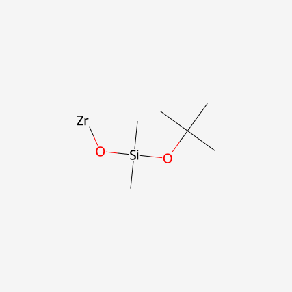 CC(C)(C)O[Si](C)(C)[O][Zr]